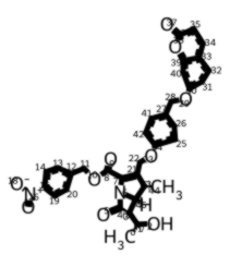 C[C@@H](O)[C@H]1C(=O)N2C(C(=O)OCc3ccc([N+](=O)[O-])cc3)=C(COc3ccc(COc4ccc5ccc(=O)oc5c4)cc3)[C@H](C)[C@H]12